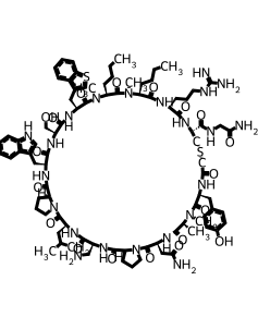 CCCC[C@H]1C(=O)N(C)[C@@H](CCCC)C(=O)N[C@@H](CCCNC(=N)N)C(=O)N[C@H](C(=O)NCC(N)=O)CSCC(=O)N[C@@H](Cc2ccc(O)cc2)C(=O)N(C)[C@@H](C)C(=O)N[C@@H](CC(N)=O)C(=O)N2CCC[C@H]2C(=O)N[C@@H](CN)C(=O)N[C@@H](CC(C)C)C(=O)N2CCC[C@H]2C(=O)N[C@@H](Cc2c[nH]c3ccccc23)C(=O)N[C@@H](CO)C(=O)N[C@@H](Cc2csc3ccccc23)C(=O)N1C